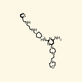 Nc1cc(N2CCN(CCN3CCOCC3)CC2)nc(NC[C@H]2CC[C@H](CNCCCNCc3cccs3)CC2)n1